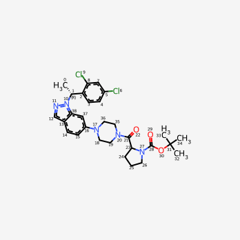 C[C@H](c1ccc(Cl)cc1Cl)n1ncc2ccc(N3CCN(C(=O)C4CCCN4C(=O)OC(C)(C)C)CC3)cc21